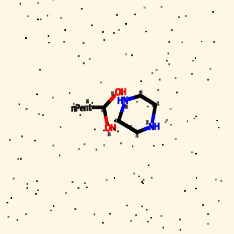 C1CNCCN1.CCCCCC(O)O